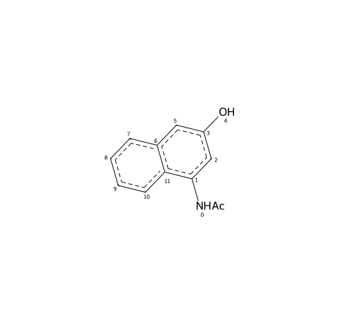 CC(=O)Nc1cc(O)cc2ccccc12